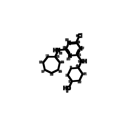 OC1CCC(Nc2nc(Cl)nc(NC3CCCCCC3)n2)CC1